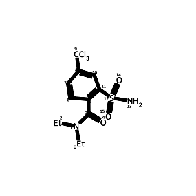 CCN(CC)C(=O)c1ccc(C(Cl)(Cl)Cl)cc1S(N)(=O)=O